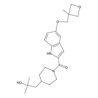 CC(C)(O)CC1CCN(C(=O)c2cc3cc(OCC4(C)COC4)ccc3[nH]2)CC1